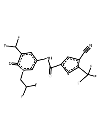 N#Cc1cc(C(=O)Nc2cc(C(F)F)c(=O)n(CC(F)F)c2)sc1C(F)(F)F